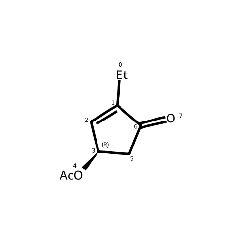 CCC1=C[C@H](OC(C)=O)CC1=O